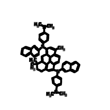 Cc1cc(N(c2ccc(N(C)C)cc2)c2ccc3ccccc3c2)c2cc3c4c(cc(N(c5ccc(N(C)C)cc5)c5ccc6ccccc6c5)c5ccc1c2c54)CCC3(C)C